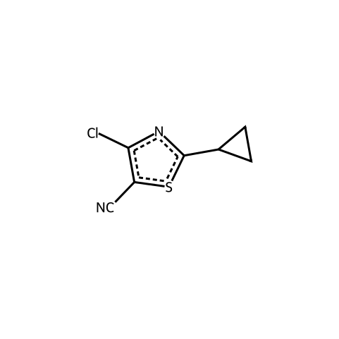 N#Cc1sc(C2CC2)nc1Cl